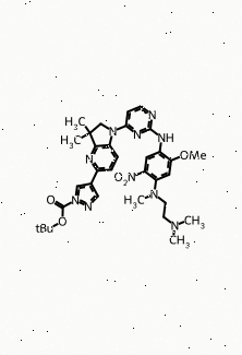 COc1cc(N(C)CCN(C)C)c([N+](=O)[O-])cc1Nc1nccc(N2CC(C)(C)c3nc(-c4cnn(C(=O)OC(C)(C)C)c4)ccc32)n1